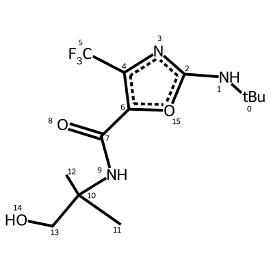 CC(C)(C)Nc1nc(C(F)(F)F)c(C(=O)NC(C)(C)CO)o1